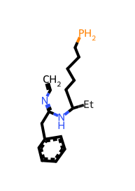 C=C/N=C(/Cc1ccccc1)NC(CC)CCCCCP